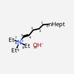 CCCCCCCCCC/C=C/[N+](CC)(CC)CC.[OH-]